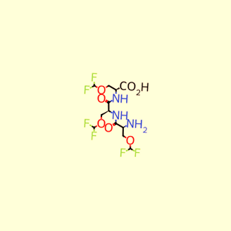 N[C@@H](COC(F)F)C(=O)N[C@@H](COC(F)F)C(=O)N[C@@H](COC(F)F)C(=O)O